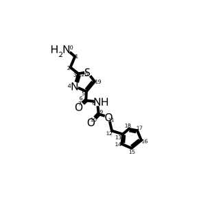 NCCc1nc(C(=O)NC(=O)OCc2ccccc2)cs1